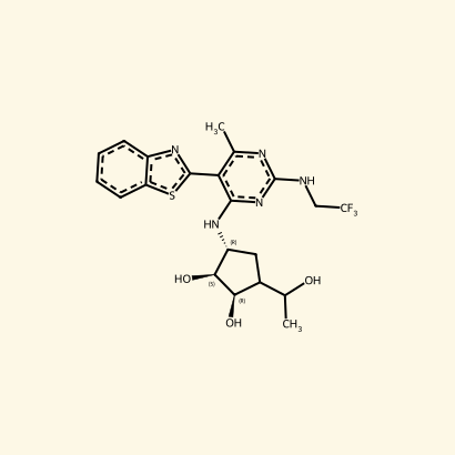 Cc1nc(NCC(F)(F)F)nc(N[C@@H]2CC(C(C)O)[C@@H](O)[C@H]2O)c1-c1nc2ccccc2s1